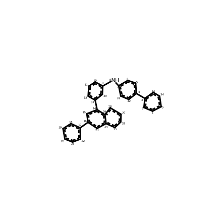 c1ccc(-c2ccc(Nc3cccc(-c4cc(-c5ccccc5)cc5ccccc45)c3)cc2)cc1